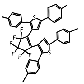 Cc1ccc(-c2cc(C3=C(c4cc(-c5ccc(C)cc5)sc4-c4ccc(C)cc4)C(F)(F)C(F)(F)C3(F)F)c(-c3ccc(C)cc3)s2)cc1